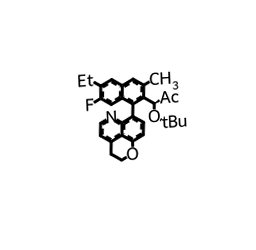 CCc1cc2cc(C)c([C@H](OC(C)(C)C)C(C)=O)c(-c3ccc4c5c(ccnc35)CCO4)c2cc1F